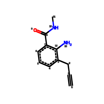 C#CCc1cccc(C(=O)NC)c1N